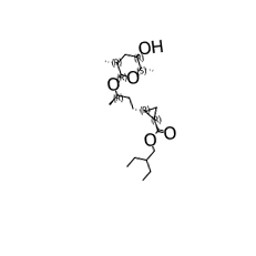 CCC(CC)COC(=O)[C@@H]1C[C@H]1CC[C@@H](C)O[C@@H]1O[C@@H](C)[C@H](O)C[C@H]1C